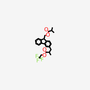 CC(C)C(=O)OCC1c2ccccc2-c2cc(CC(C)C(=O)OCC(F)(F)F)ccc21